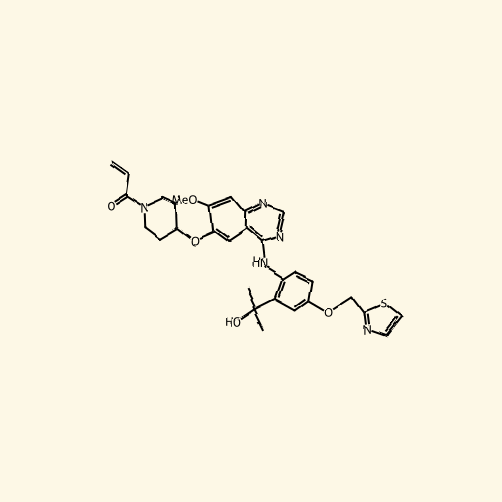 C=CC(=O)N1CCC(Oc2cc3c(Nc4ccc(OCc5nccs5)cc4C(C)(C)O)ncnc3cc2OC)CC1